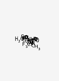 Cc1nn(CC2CCOC2)c(C(=O)Nc2cccc(S(C)(=O)=O)c2)c1C(F)(F)F